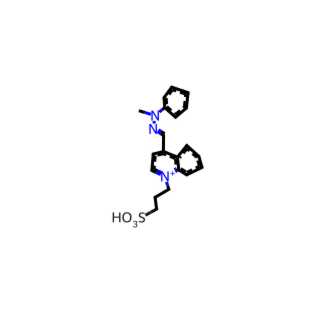 CN(N=Cc1cc[n+](CCCS(=O)(=O)O)c2ccccc12)c1ccccc1